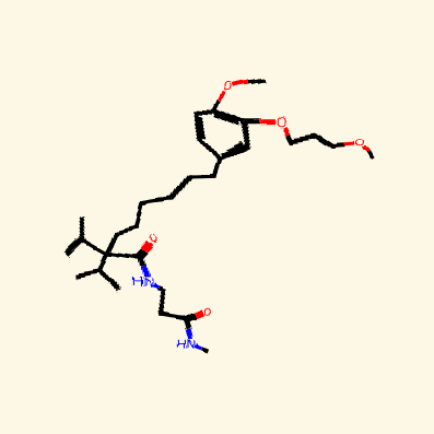 CNC(=O)CCNC(=O)C(CCCCCCc1ccc(OC)c(OCCCOC)c1)(C(C)C)C(C)C